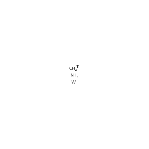 C.N.[Ti].[W]